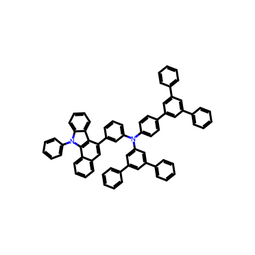 c1ccc(-c2cc(-c3ccccc3)cc(-c3ccc(N(c4cc(-c5ccccc5)cc(-c5ccccc5)c4)c4cccc(-c5cc6ccccc6c6c5c5ccccc5n6-c5ccccc5)c4)cc3)c2)cc1